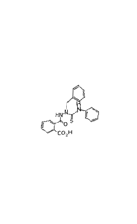 O=C(O)c1ccccc1C(=O)NN(Cc1ccccc1)C(=S)Nc1ccccc1